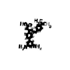 CC(C)c1ccc(Cn2cc(CC(=O)O)c3ccc(-c4cc(N)cc(N)c4)cc32)cc1